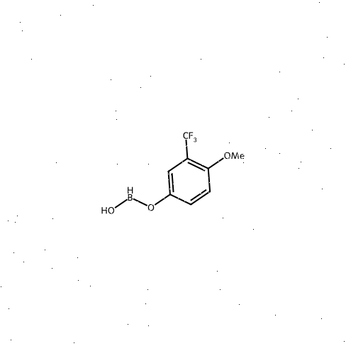 COc1ccc(OBO)cc1C(F)(F)F